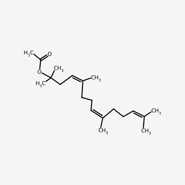 CC(=O)OC(C)(C)CC=C(C)CCC=C(C)CCC=C(C)C